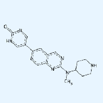 CN(c1ncc2cc(-c3cnc(=O)[nH]c3)ccc2n1)C1CCNCC1